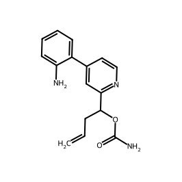 C=CCC(OC(N)=O)c1cc(-c2ccccc2N)ccn1